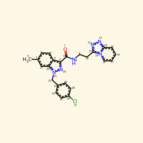 Cc1ccc2c(C(=O)NCCc3nnc4ccccn34)nn(Cc3ccc(Cl)cc3)c2c1